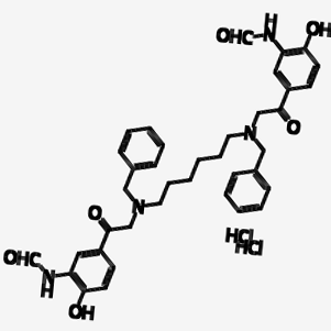 Cl.Cl.O=CNc1cc(C(=O)CN(CCCCCCN(CC(=O)c2ccc(O)c(NC=O)c2)Cc2ccccc2)Cc2ccccc2)ccc1O